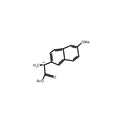 COc1ccc2cc([C@H](C)C(=O)OC(C)=O)ccc2c1